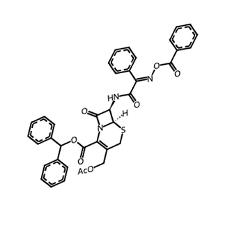 CC(=O)OCC1=C(C(=O)OC(c2ccccc2)c2ccccc2)N2C(=O)[C@@H](NC(=O)/C(=N/OC(=O)c3ccccc3)c3ccccc3)[C@H]2SC1